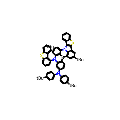 CC(C)(C)c1ccc(N(c2ccc(C(C)(C)C)cc2)c2ccc3c(c2)N(c2cccc4sc5ccccc5c24)c2cc(C(C)(C)C)cc4c2B3c2cc(C(C)(C)C)cc3c5sc6ccccc6c5n-4c23)cc1